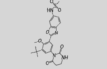 COc1c(-c2nc3ccc(NS(C)(=O)=O)cc3o2)cc(N2C(=O)CCNC2=O)cc1C(C)(C)C